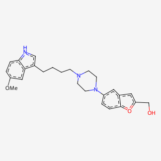 COc1ccc2[nH]cc(CCCCN3CCN(c4ccc5oc(CO)cc5c4)CC3)c2c1